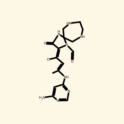 C/C(=C\C(Cl)=C1\C(=O)NC2(CNCCNC2)N1C=O)Nc1cc(N)ncn1